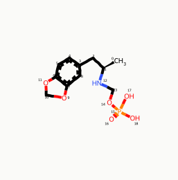 C[C@H](Cc1ccc2c(c1)OCO2)NCOP(=O)(O)O